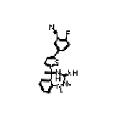 CN1C(=N)NC(C)(c2ccc(-c3ccc(F)c(C#N)c3)s2)c2ccccc2N1C